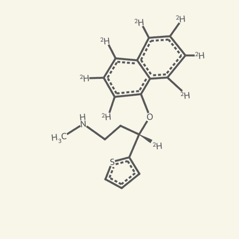 [2H]c1c([2H])c([2H])c2c(O[C@@]([2H])(CCNC)c3cccs3)c([2H])c([2H])c([2H])c2c1[2H]